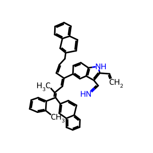 C=Cc1[nH]c2ccc(C(/C=C\Cc3ccc4ccccc4c3)=C/C(C)=C(\c3ccc4ccccc4c3)c3ccccc3C)cc2c1C=N